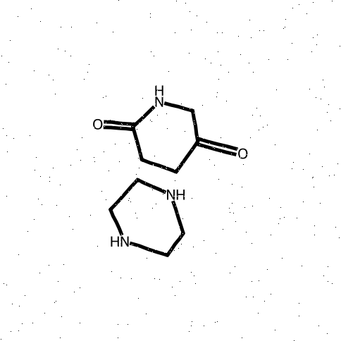 C1CNCCN1.O=C1CCC(=O)NC1